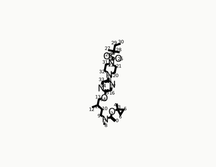 C=C(OC1(C)CC1)N(C)CCC(C)COc1cnc(N2CCN(S(=O)(=O)C(C)(C)CC)CC2)cn1